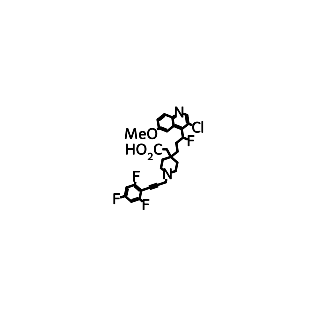 COc1ccc2ncc(Cl)c(C(F)CCC3(CC(=O)O)CCN(CC#Cc4c(F)cc(F)cc4F)CC3)c2c1